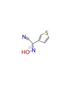 N#C/C(=N\O)c1ccsc1